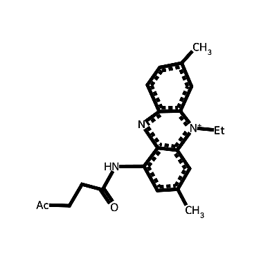 CC[n+]1c2cc(C)ccc2nc2c(NC(=O)CCC(C)=O)cc(C)cc21